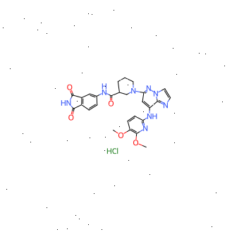 COc1ccc(Nc2cc(N3CCCC(C(=O)Nc4ccc5c(c4)C(=O)NC5=O)C3)nn3ccnc23)nc1OC.Cl